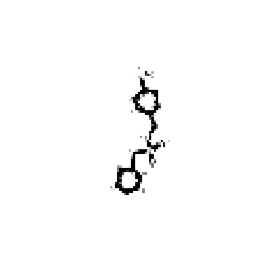 CC(=O)Oc1ccc(COS(=O)(=O)Cc2ccccc2)cc1